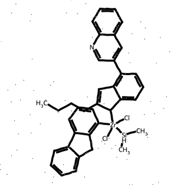 CCCCC1=Cc2c(-c3cnc4ccccc4c3)cccc2[CH]1[Zr]([Cl])([Cl])([c]1cccc2c1Cc1ccccc1-2)[SiH](C)C